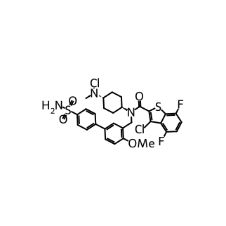 COc1ccc(-c2ccc(S(N)(=O)=O)cc2)cc1CN(C(=O)c1sc2c(F)ccc(F)c2c1Cl)[C@H]1CC[C@H](N(C)Cl)CC1